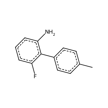 Cc1ccc(-c2c(N)cccc2F)cc1